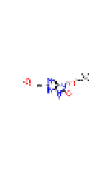 COCC#Cc1ncc2c(n1)n(C)c(=O)n2COCC[Si](C)(C)C